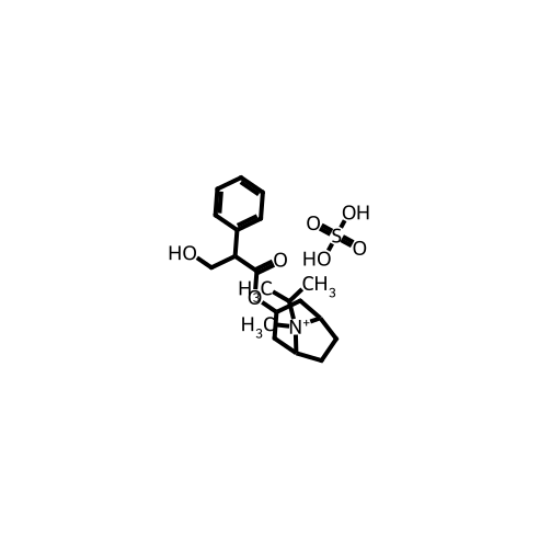 CC(C)[N+]1(C)C2CCC1CC(OC(=O)C(CO)c1ccccc1)C2.O=S(=O)(O)O